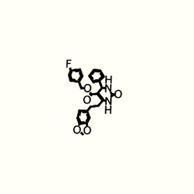 O=C1NC(CCc2ccc3c(c2)OCO3)=C(C(=O)OCc2ccc(F)cc2)C(c2ccccc2)N1